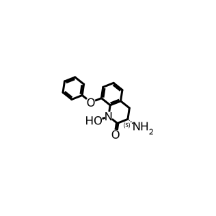 N[C@H]1Cc2cccc(Oc3ccccc3)c2N(O)C1=O